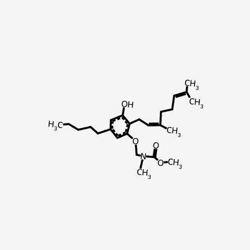 CCCCCc1cc(O)c(CC=C(C)CCC=C(C)C)c(OCN(C)C(=O)OC)c1